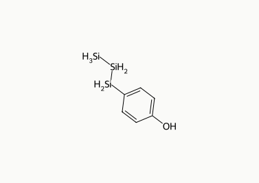 Oc1ccc([SiH2][SiH2][SiH3])cc1